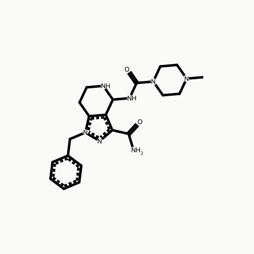 CN1CCN(C(=O)NC2NCCc3c2c(C(N)=O)nn3Cc2ccccc2)CC1